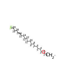 [CH2]COCCCCCCCCCCCCCCCCCCF